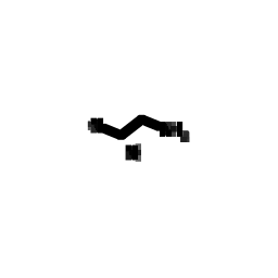 [N].[N]CCN